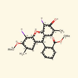 COOC(=O)c1ccccc1-c1c2cc(C)c(=O)c(I)c-2oc2c(I)c(OOC)c(C)cc12